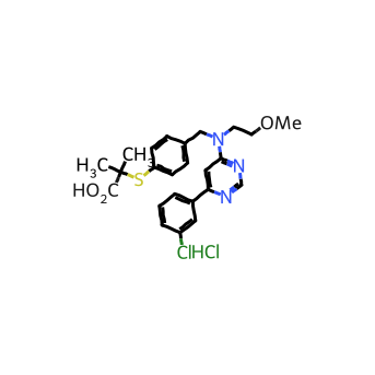 COCCN(Cc1ccc(SC(C)(C)C(=O)O)cc1)c1cc(-c2cccc(Cl)c2)ncn1.Cl